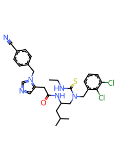 CCNC(=S)N(Cc1cccc(Cl)c1Cl)CC(CC(C)C)NC(=O)Cc1cncn1Cc1ccc(C#N)cc1